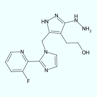 NNc1n[nH]c(Cn2ccnc2-c2ncccc2F)c1CCO